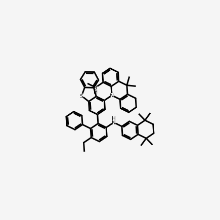 CBc1cccc2c1N(c1cc(-c3c(Nc4ccc5c(c4)C(C)(C)CCC5(C)C)ccc(CC)c3-c3ccccc3)cc3sc4ccccc4c13)C1=C(CCC=C1)C2(C)C